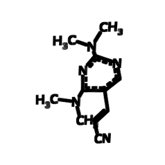 CN(C)c1ncc(/C=C/C#N)c(N(C)C)n1